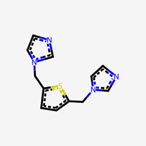 c1cn(Cc2ccc(Cn3ccnc3)s2)cn1